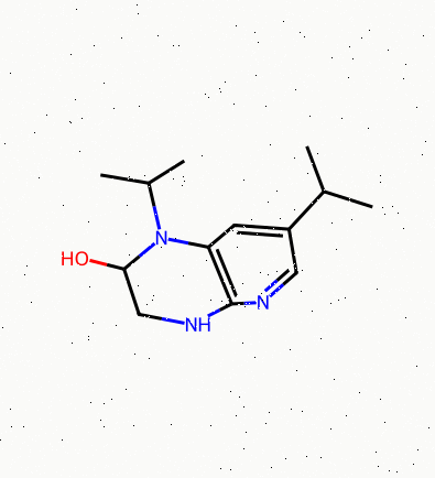 CC(C)c1cnc2c(c1)N(C(C)C)C(O)CN2